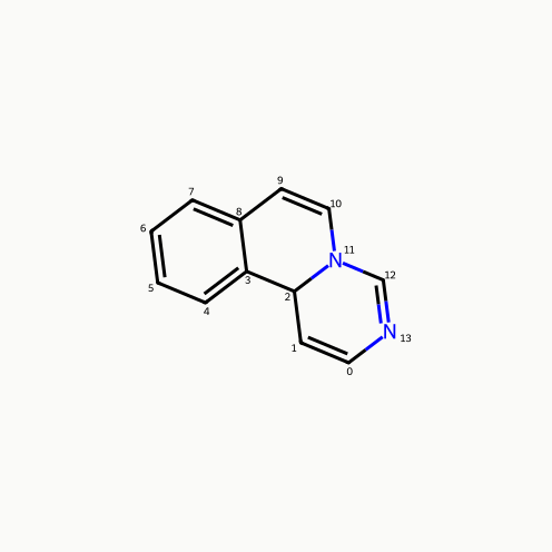 C1=CC2c3ccccc3C=CN2C=N1